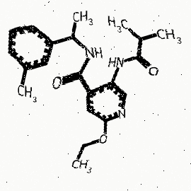 CCOc1cc(C(=O)NC(C)c2cccc(C)c2)c(NC(=O)C(C)C)cn1